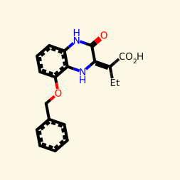 CCC(C(=O)O)=C1Nc2c(cccc2OCc2ccccc2)NC1=O